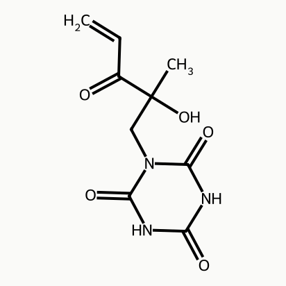 C=CC(=O)C(C)(O)Cn1c(=O)[nH]c(=O)[nH]c1=O